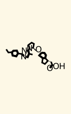 CCc1ccc(-c2ncc(C)c(N3CCC[C@H]3COc3ccc4c(c3)CC[C@H]4CC(=O)O)n2)cc1